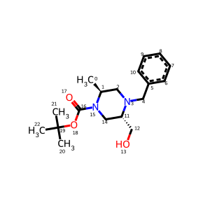 C[C@H]1CN(Cc2ccccc2)[C@H](CO)CN1C(=O)OC(C)(C)C